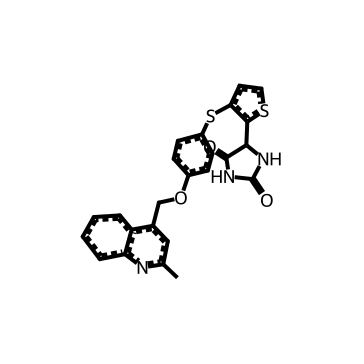 Cc1cc(COc2ccc(Sc3ccsc3C3NC(=O)NC3=O)cc2)c2ccccc2n1